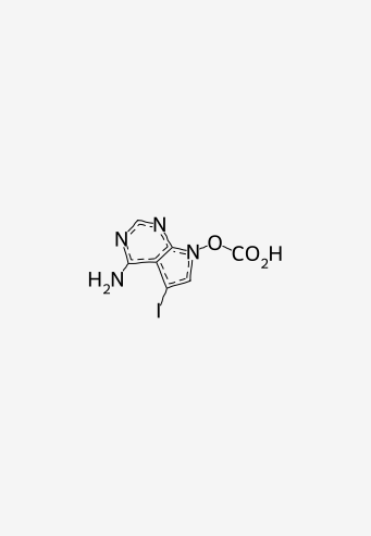 Nc1ncnc2c1c(I)cn2OC(=O)O